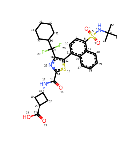 CC(C)(C)NS(=O)(=O)c1ccc(-c2sc(C(=O)N[C@H]3C[C@H](C(=O)O)C3)nc2C(F)(F)C2CCCCC2)c2ccccc12